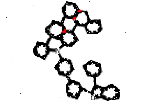 c1ccc(-c2ccc(-c3ccccc3N(c3ccc(-c4cccc(-c5oc6ccccc6c5-c5ccccc5)c4)cc3)c3ccc(-c4cccc5ccccc45)cc3)cc2)cc1